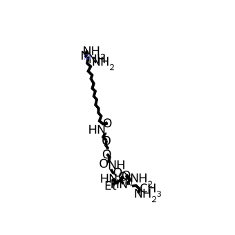 CC[C@H](NC(=O)CNC(=O)COCCOCCNC(=O)CCCCCCCCCCCCCCC/C(=N/N)NN)C(=O)N[C@@H](CCC(C)N)C(N)=O